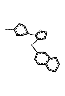 Cc1ccc(-c2sccc2Oc2ccc3ccccc3c2)cc1